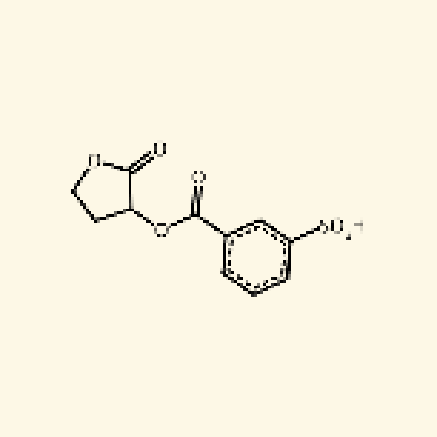 O=C(OC1CCOC1=O)c1cccc(S(=O)(=O)O)c1